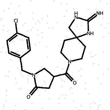 N=C1NCC2(CCN(C(=O)C3CC(=O)N(Cc4ccc(Cl)cc4)C3)CC2)N1